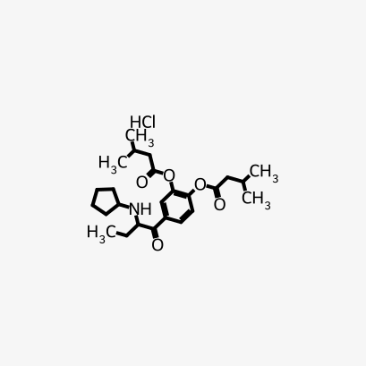 CCC(NC1CCCC1)C(=O)c1ccc(OC(=O)CC(C)C)c(OC(=O)CC(C)C)c1.Cl